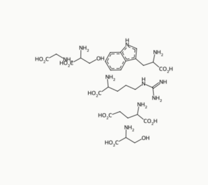 N=C(N)NCCCC(N)C(=O)O.NC(CCC(=O)O)C(=O)O.NC(CO)C(=O)O.NC(CO)C(=O)O.NC(Cc1c[nH]c2ccccc12)C(=O)O.NCC(=O)O